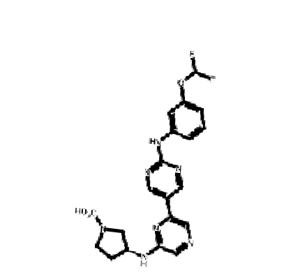 O=C(O)N1CC[C@H](Nc2cncc(-c3cnc(Nc4cccc(OC(F)F)c4)nc3)n2)C1